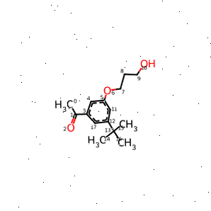 CC(=O)c1cc(OCCCO)cc(C(C)(C)C)c1